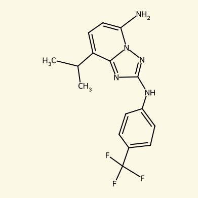 CC(C)c1ccc(N)n2nc(Nc3ccc(C(F)(F)F)cc3)nc12